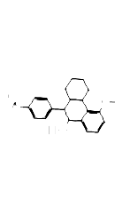 COc1ccc(C2C(O)c3cccc(OC)c3C3CCCCC32)cc1